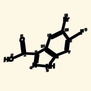 O=C(O)c1n[nH]c2cc(F)c(Br)cc12